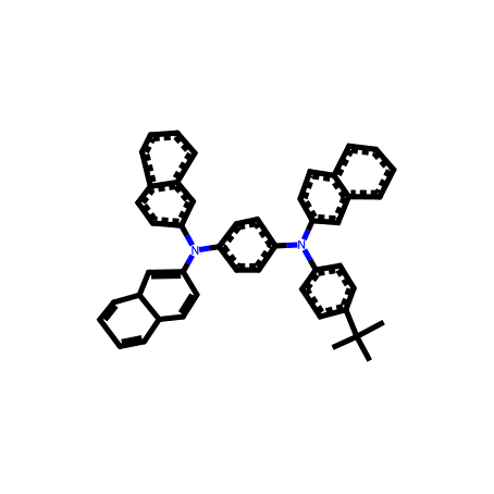 CC(C)(C)c1ccc(N(c2ccc(N(C3=CC4C=CC=CC4C=C3)c3ccc4ccccc4c3)cc2)c2ccc3ccccc3c2)cc1